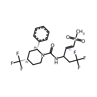 CS(=O)(=O)/C=C/C(CC(F)(F)F)NC(=O)N1CC[C@H](C(F)(F)F)C[C@@H]1c1ccccc1